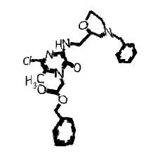 Cc1c(Cl)nc(NCC2CN(Cc3ccccc3)CCO2)c(=O)n1CC(=O)OCc1ccccc1